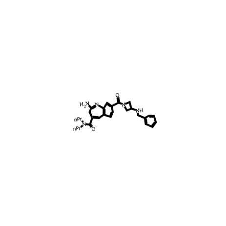 CCCN(CCC)C(=O)C1=Cc2ccc(C(=O)N3CC(NCc4ccccc4)C3)cc2N=C(N)C1